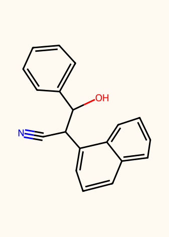 N#CC(c1cccc2ccccc12)C(O)c1ccccc1